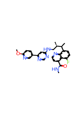 CNC(=O)c1ccnc2c(C(C)[C@H](C)CNc3cc(-c4ccc(OC)nc4)ncn3)ccc(F)c12